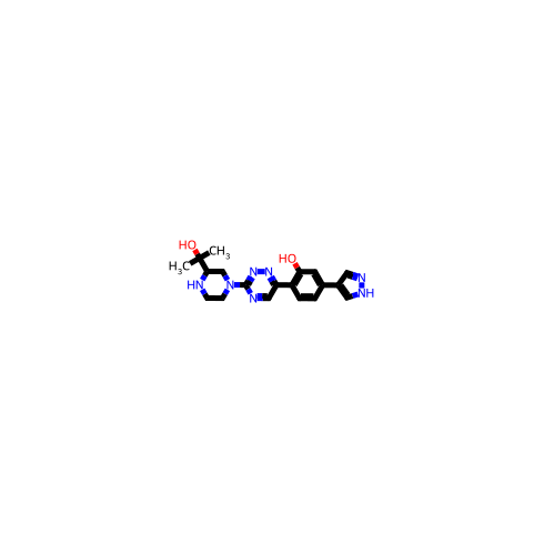 CC(C)(O)C1CN(c2ncc(-c3ccc(-c4cn[nH]c4)cc3O)nn2)CCN1